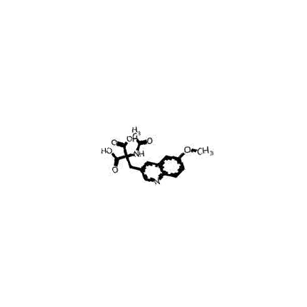 COc1ccc2ncc(CC(NC(C)=O)(C(=O)O)C(=O)O)cc2c1